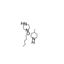 CC1CCNCC1.CCCCCON1CCNCC1